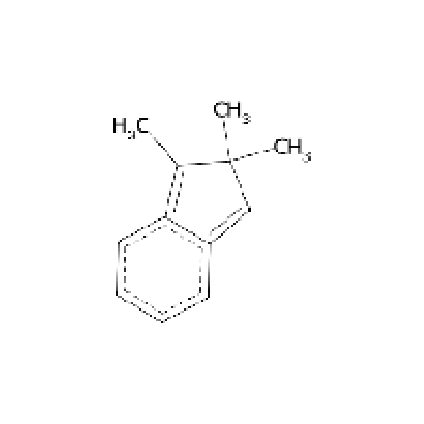 CC1=c2ccccc2=CC1(C)C